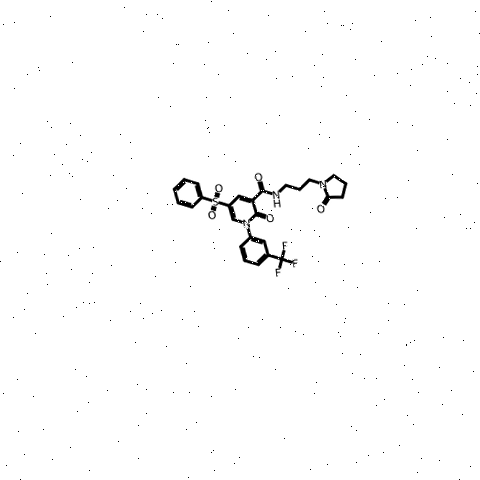 O=C(NCCCN1CCCC1=O)c1cc(S(=O)(=O)c2ccccc2)cn(-c2cccc(C(F)(F)F)c2)c1=O